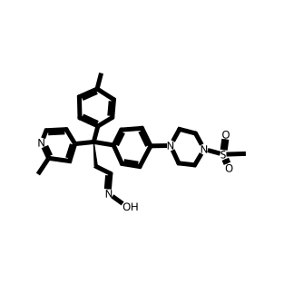 Cc1ccc([C@](C/C=N/O)(c2ccc(N3CCN(S(C)(=O)=O)CC3)cc2)c2ccnc(C)c2)cc1